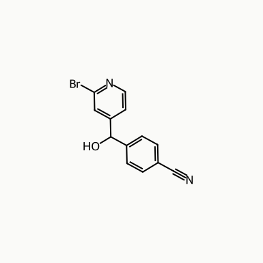 N#Cc1ccc(C(O)c2ccnc(Br)c2)cc1